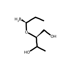 B[C@@H](CC)O[C@@H](CO)C(C)O